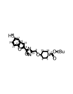 CC(C)(C)OC(=O)N1CCC(OCc2noc(-c3cc4cc(S)ccc4o3)n2)CC1